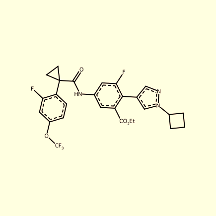 CCOC(=O)c1cc(NC(=O)C2(c3ccc(OC(F)(F)F)cc3F)CC2)cc(F)c1-c1cnn(C2CCC2)c1